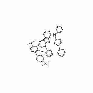 CC(C)(C)c1ccc2c(c1)C1(c3cc(C(C)(C)C)ccc3-2)c2ccccc2-c2c1ccc1c2sc2c(N(c3ccccc3)c3ccc(-c4ccccc4)cc3)cccc21